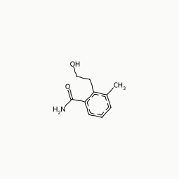 Cc1cccc(C(N)=O)c1CCO